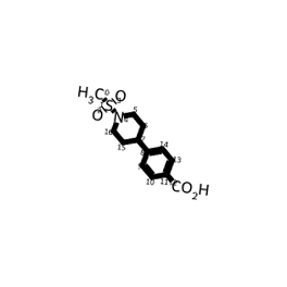 CS(=O)(=O)N1CCC(c2ccc(C(=O)O)cc2)CC1